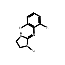 CCc1cccc(CC)c1N=C1NCCN1C(C)=O